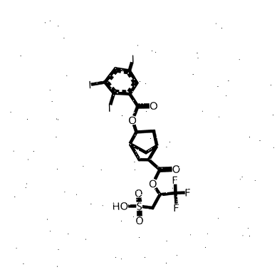 O=C(OC1CC2CC1CC2C(=O)OC(CS(=O)(=O)O)C(F)(F)F)c1cc(I)cc(I)c1I